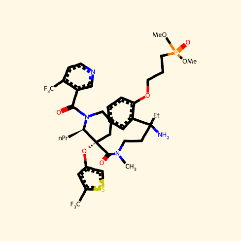 CCC[C@H]1N(C(=O)c2cnccc2C(F)(F)F)CCC[C@@]1(Oc1csc(C(F)(F)F)c1)C(=O)N(C)CCC(N)(CC)c1ccccc1OCCCP(=O)(OC)OC